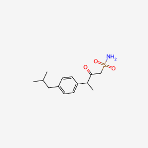 CC(C)Cc1ccc(C(C)C(=O)CS(N)(=O)=O)cc1